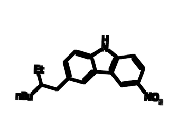 CCCCC(CC)Cc1ccc2[nH]c3ccc([N+](=O)[O-])cc3c2c1